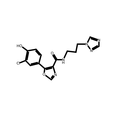 O=C(NCCCn1cncn1)c1ncoc1-c1ccc(O)c(Cl)c1